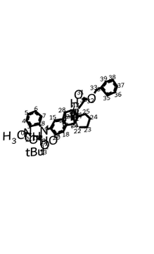 CN(C)c1ccccc1N(C(=O)OC(C)(C)C)c1cc2c(cc1O)[C@]13CCCC[C@@H]1[C@H](C2)N(C(=O)OCc1ccccc1)CC3